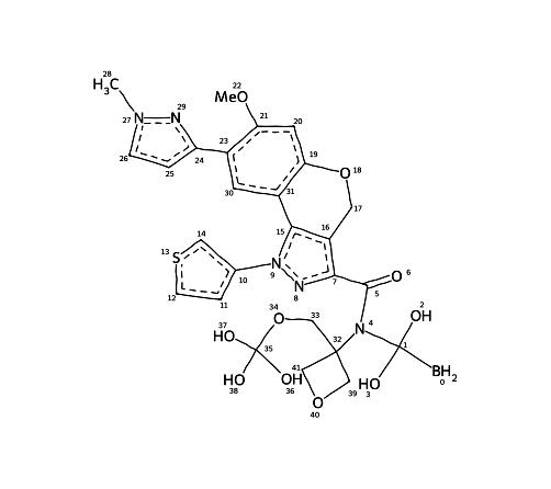 BC(O)(O)N(C(=O)c1nn(-c2ccsc2)c2c1COc1cc(OC)c(-c3ccn(C)n3)cc1-2)C1(COC(O)(O)O)COC1